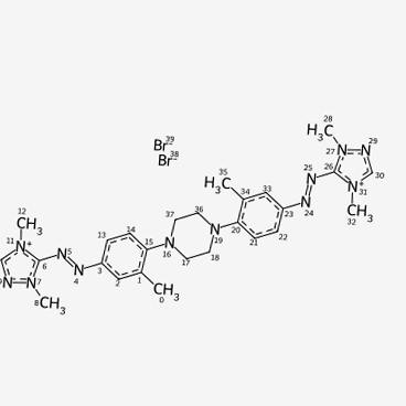 Cc1cc(/N=N/c2n(C)nc[n+]2C)ccc1N1CCN(c2ccc(/N=N/c3n(C)nc[n+]3C)cc2C)CC1.[Br-].[Br-]